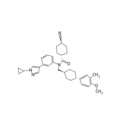 COc1ccc([C@H]2CC[C@H](CN(c3cccc(-c4cnn(C5CC5)c4)c3)C(=O)[C@H]3CC[C@H](C#N)CC3)CC2)cc1C